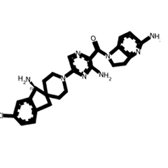 Nc1ccc2c(n1)CCN2C(=O)c1ncc(N2CCC3(CC2)Cc2ccc(Cl)cc2[C@H]3N)nc1N